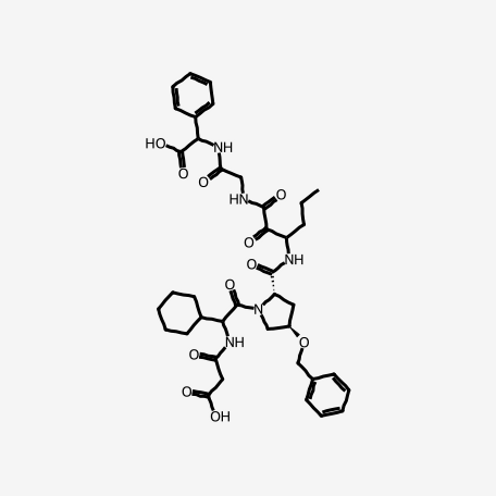 CCCC(NC(=O)[C@@H]1C[C@@H](OCc2ccccc2)CN1C(=O)C(NC(=O)CC(=O)O)C1CCCCC1)C(=O)C(=O)NCC(=O)NC(C(=O)O)c1ccccc1